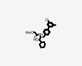 COCC(=O)N[C@@H](Cc1ccc(-c2cc(C)cc(Cl)c2)cc1)[C@H](O)C1CCCCC1